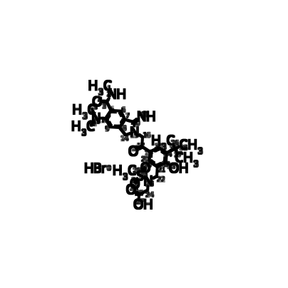 Br.CNC(=O)c1cc2c(cc1N(C)C)CN(CC(=O)c1cc(CN(CC(=O)O)S(C)(=O)=O)c(O)c(C(C)(C)C)c1)C2=N